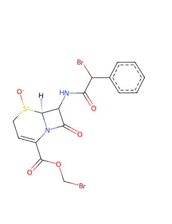 O=C(OCBr)C1=CC[S+]([O-])[C@H]2C(NC(=O)C(Br)c3ccccc3)C(=O)N12